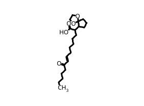 CCCCCC(=O)C=CCCCCCC(C(=O)O)C1CCCC12OCCO2